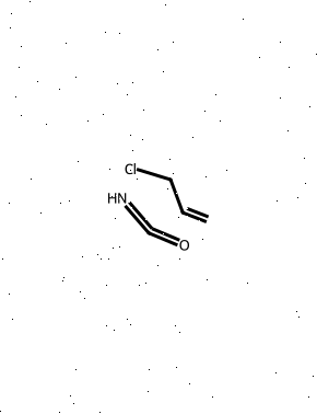 C=CCCl.N=C=O